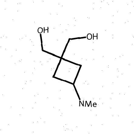 CNC1CC(CO)(CO)C1